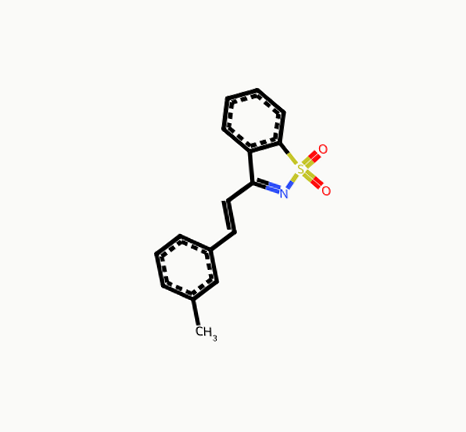 Cc1cccc(C=CC2=NS(=O)(=O)c3ccccc32)c1